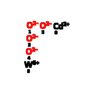 [Cd+2].[O-2].[O-2].[O-2].[O-2].[W+6]